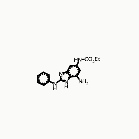 CCOC(=O)Nc1cc(N)c2[nH]c(Nc3ccccc3)nc2c1